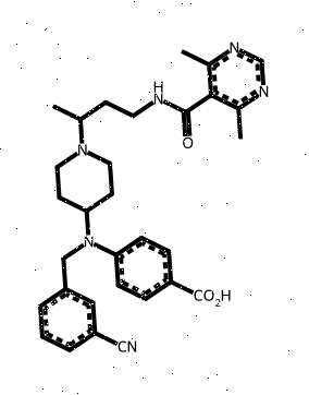 Cc1ncnc(C)c1C(=O)NCCC(C)N1CCC(N(Cc2cccc(C#N)c2)c2ccc(C(=O)O)cc2)CC1